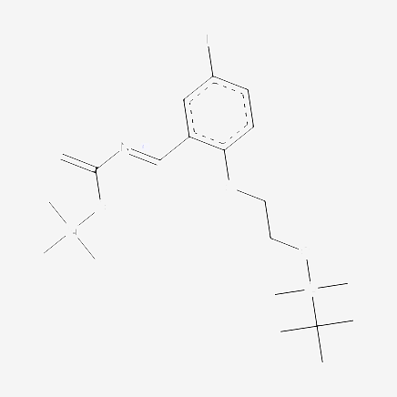 C=C(/N=C/c1cc(I)ccc1OCCO[Si](C)(C)C(C)(C)C)O[Si](C)(C)C